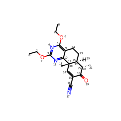 CCOc1nc(OCC)c2c(n1)[C@@]1(C)C=C(C#N)C(=O)[C@@H](C)[C@@H]1CC2